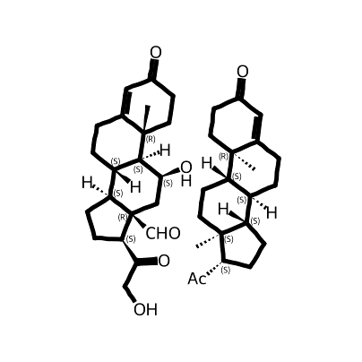 CC(=O)[C@H]1CC[C@H]2[C@@H]3CCC4=CC(=O)CC[C@]4(C)[C@H]3CC[C@]12C.C[C@]12CCC(=O)C=C1CC[C@@H]1[C@@H]2[C@@H](O)C[C@]2(C=O)[C@@H](C(=O)CO)CC[C@@H]12